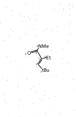 CC/C(=C\C(C)(C)C)C(=O)NC